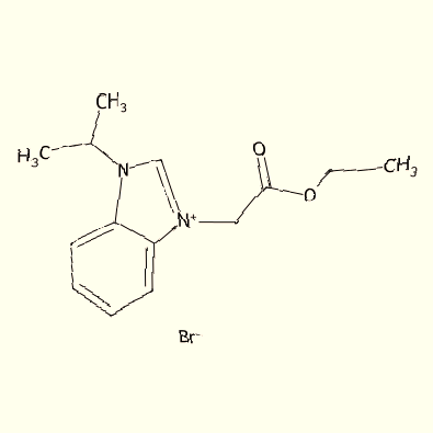 CCOC(=O)C[n+]1cn(C(C)C)c2ccccc21.[Br-]